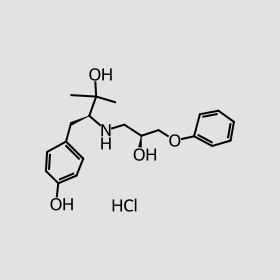 CC(C)(O)[C@H](Cc1ccc(O)cc1)NC[C@H](O)COc1ccccc1.Cl